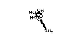 C[C@@H]1O[C@@H](OCCCCCN)[C@H](O)[C@H](O)[C@H]1O